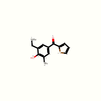 CNCc1cc(C(=O)c2cccs2)cc(C(C)(C)C)c1O